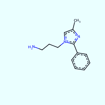 Cc1cn(CCCN)c(-c2ccccc2)n1